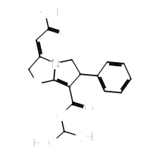 CC(C)OC(=O)C1=C2SCC(=CC(=O)O)N2CC1c1ccccc1